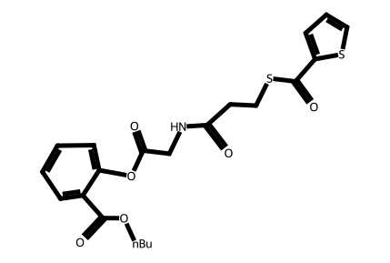 CCCCOC(=O)c1ccccc1OC(=O)CNC(=O)CCSC(=O)c1cccs1